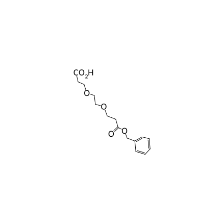 O=C(O)CCOCCOCCC(=O)OCc1ccccc1